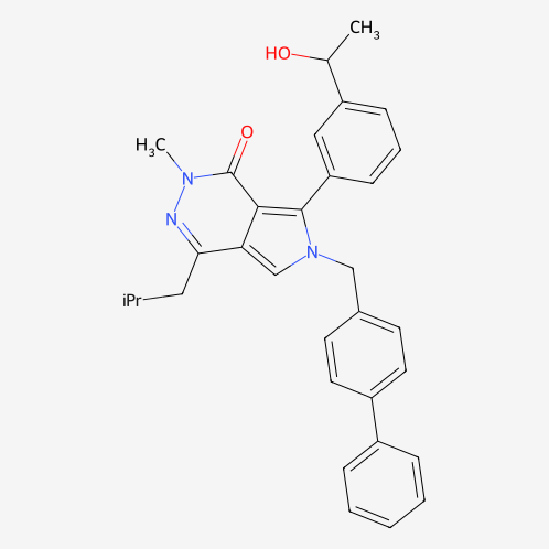 CC(C)Cc1nn(C)c(=O)c2c(-c3cccc(C(C)O)c3)n(Cc3ccc(-c4ccccc4)cc3)cc12